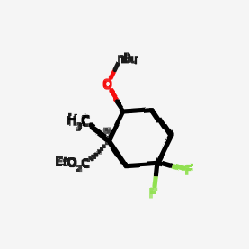 CCCCOC1CCC(F)(F)C[C@]1(C)C(=O)OCC